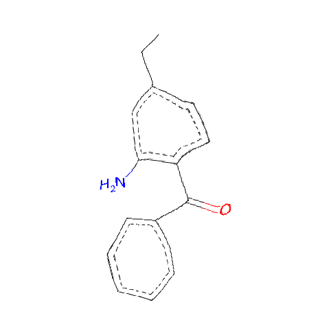 CCc1ccc(C(=O)c2ccccc2)c(N)c1